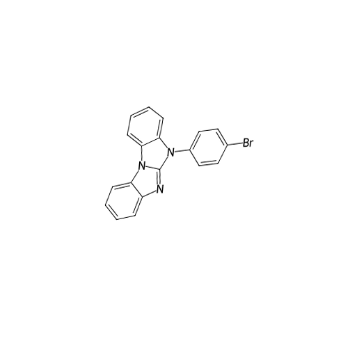 Brc1ccc(-n2c3ccccc3n3c4ccccc4nc23)cc1